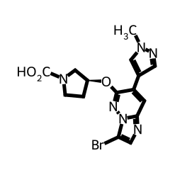 Cn1cc(-c2cc3ncc(Br)n3nc2O[C@H]2CCN(C(=O)O)C2)cn1